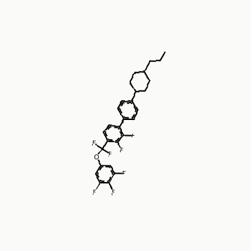 CCCC1CCC(c2ccc(-c3ccc(C(F)(F)Oc4cc(F)c(F)c(F)c4)c(F)c3F)cc2)CC1